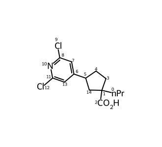 CCCC1(C(=O)O)CCC(c2cc(Cl)nc(Cl)c2)C1